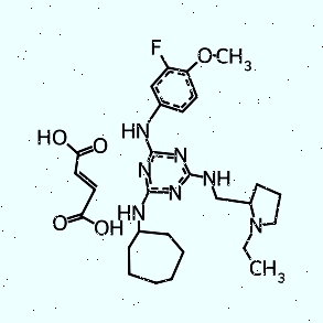 CCN1CCCC1CNc1nc(Nc2ccc(OC)c(F)c2)nc(NC2CCCCCC2)n1.O=C(O)C=CC(=O)O